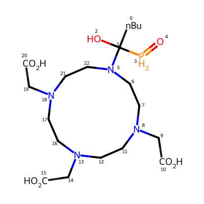 CCCCC(O)([PH2]=O)N1CCN(CC(=O)O)CCN(CC(=O)O)CCN(CC(=O)O)CC1